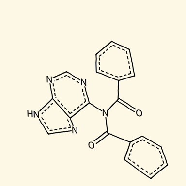 O=C(c1ccccc1)N(C(=O)c1ccccc1)c1ncnc2[nH]cnc12